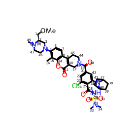 COC[C@H]1CN(c2ccc3c4c(c(=O)oc3c2C)CN(C(=O)c2cc(Cl)c(C(=O)NS(=O)(=O)N(C)C)c(N3C5CCC3CC5)c2)CC4)CCN1C